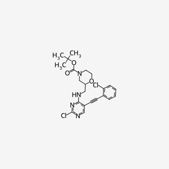 CC(C)(C)OC(=O)N1CCOC(CNc2nc(Cl)ncc2C#Cc2ccccc2Cl)C1